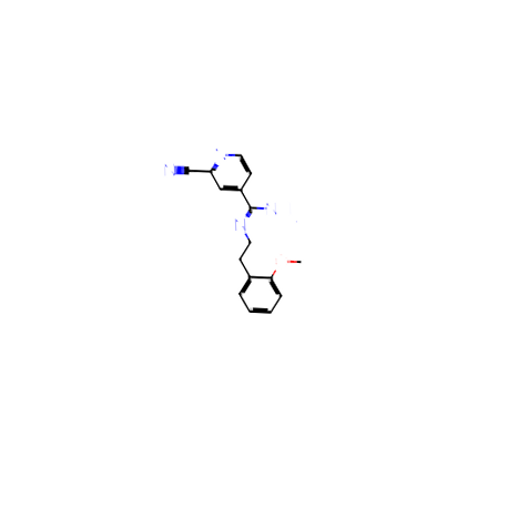 COc1ccccc1CCN=C(N)c1ccnc(C#N)c1